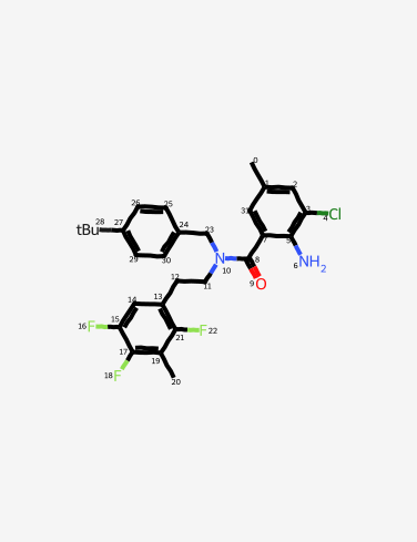 Cc1cc(Cl)c(N)c(C(=O)N(CCc2cc(F)c(F)c(C)c2F)Cc2ccc(C(C)(C)C)cc2)c1